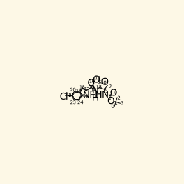 CC(C)(C)OC(=O)NC1COC(=O)C1NC(=O)c1cc2cc(Cl)ccc2[nH]1